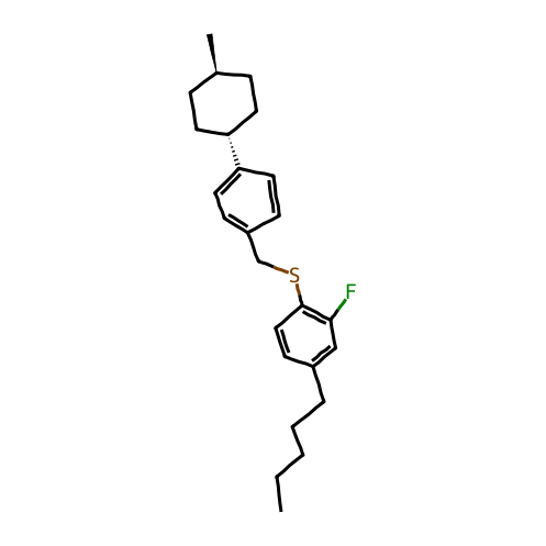 CCCCCc1ccc(SCc2ccc([C@H]3CC[C@H](C)CC3)cc2)c(F)c1